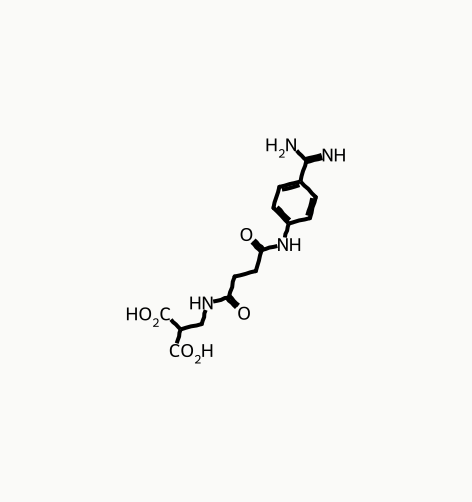 N=C(N)c1ccc(NC(=O)CCC(=O)NCC(C(=O)O)C(=O)O)cc1